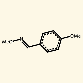 CON=Cc1ccc(OC)cc1